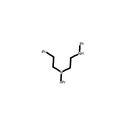 CCCN(CCNC(C)C)CCC(C)C